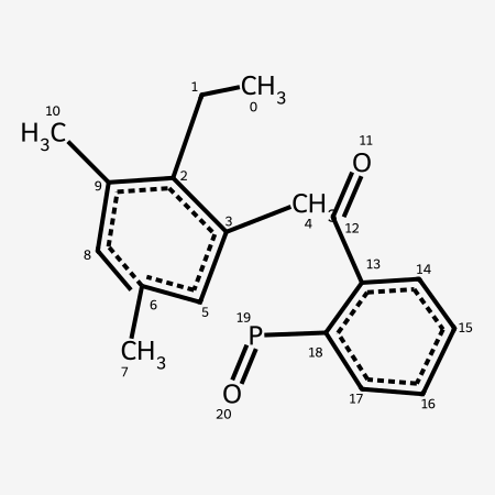 CCc1c(C)cc(C)cc1C.O=Cc1ccccc1P=O